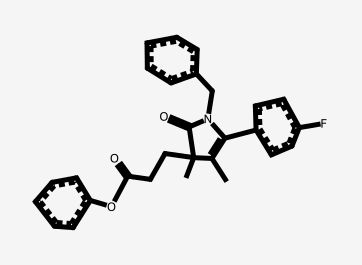 CC1=C(c2ccc(F)cc2)N(Cc2ccccc2)C(=O)C1(C)CCC(=O)Oc1ccccc1